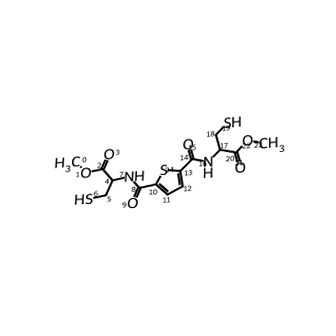 COC(=O)C(CS)NC(=O)c1ccc(C(=O)NC(CS)C(=O)OC)s1